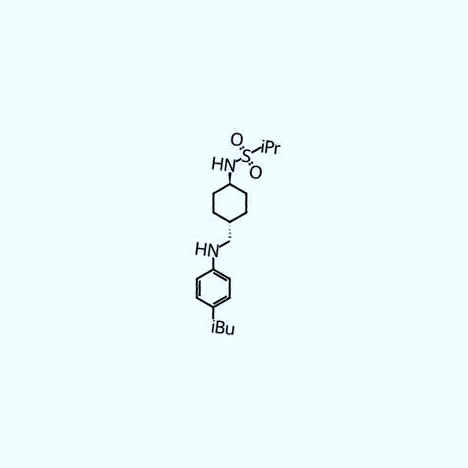 CCC(C)c1ccc(NC[C@H]2CC[C@H](NS(=O)(=O)C(C)C)CC2)cc1